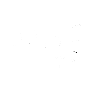 COc1cccc(-c2ccc([C@](C)(c3ccncc3)S(=O)(=O)O)cc2)c1